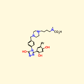 CC(C)c1cc(-c2nnc(O)n2-c2ccc(CN3CCN(CCCCN(C)C(=O)O)CC3)cc2)c(O)cc1O